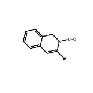 O=CN1Cc2ccccc2C=C1Br